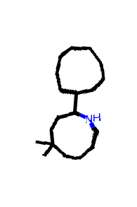 CC1(C)CCCCNC(C2CCCCCCCC2)CC1